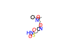 Cc1oc(-c2ccccc2)nc1CCOc1ccc(CC2SC(=O)NC2=O)cn1